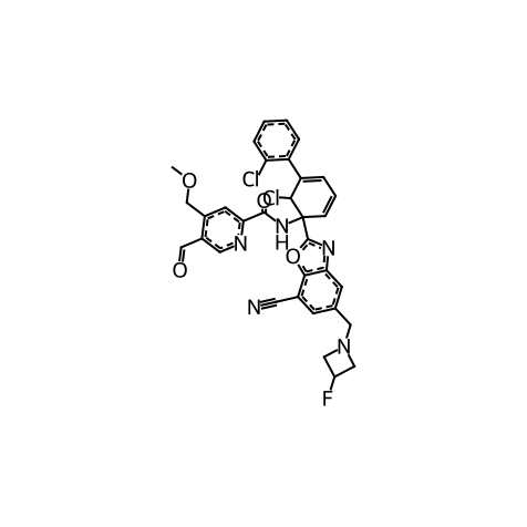 COCc1cc(C(=O)NC2(c3nc4cc(CN5CC(F)C5)cc(C#N)c4o3)C=CC=C(c3ccccc3Cl)C2Cl)ncc1C=O